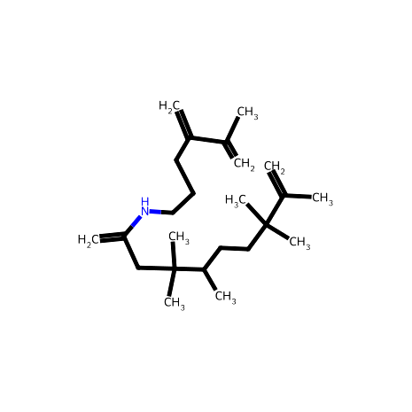 C=C(CC(C)(C)C(C)CCC(C)(C)C(=C)C)NCCCC(=C)C(=C)C